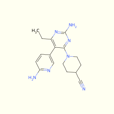 CCc1nc(N)nc(N2CCC(C#N)CC2)c1-c1ccc(N)nc1